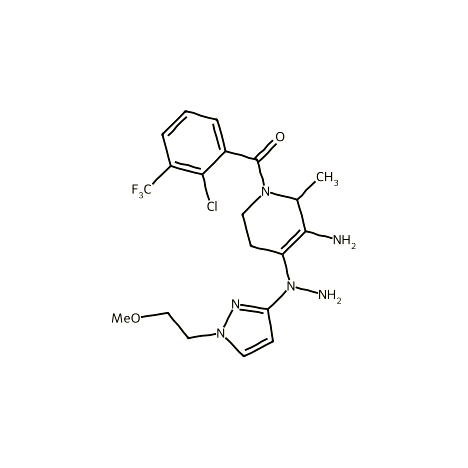 COCCn1ccc(N(N)C2=C(N)C(C)N(C(=O)c3cccc(C(F)(F)F)c3Cl)CC2)n1